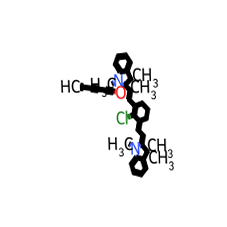 C#CC#CC#COC1(/C=C/C2=C(Cl)C(=C/C=C3\N(C)c4ccccc4C3(C)C)/CCC2)N(C)c2ccccc2C1(C)C